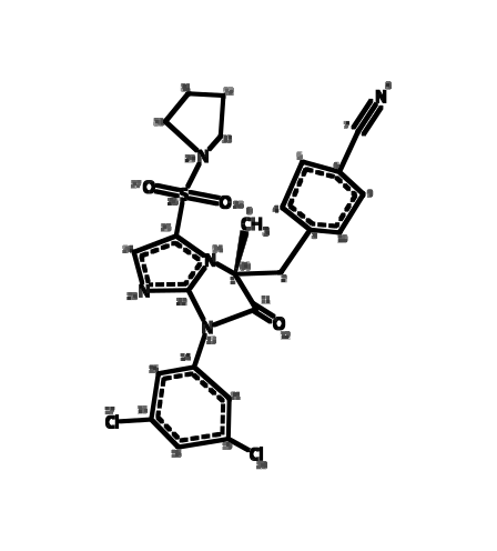 C[C@@]1(Cc2ccc(C#N)cc2)C(=O)N(c2cc(Cl)cc(Cl)c2)c2ncc(S(=O)(=O)N3CCCC3)n21